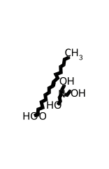 CCCCCCCCC=CCCCCCCCC(=O)O.OCCN(CCO)CCO